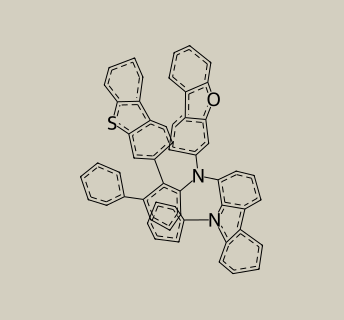 c1ccc(-c2cccc(N(c3ccc4c(c3)oc3ccccc34)c3cccc4c5ccccc5n(-c5ccccc5)c34)c2-c2ccc3c(c2)sc2ccccc23)cc1